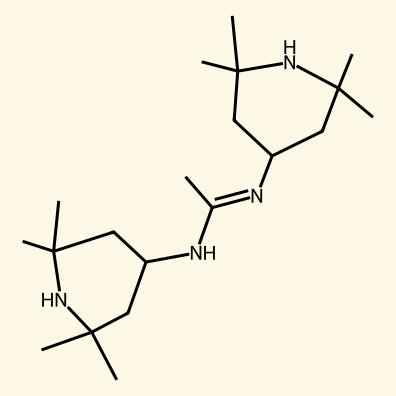 C/C(=N\C1CC(C)(C)NC(C)(C)C1)NC1CC(C)(C)NC(C)(C)C1